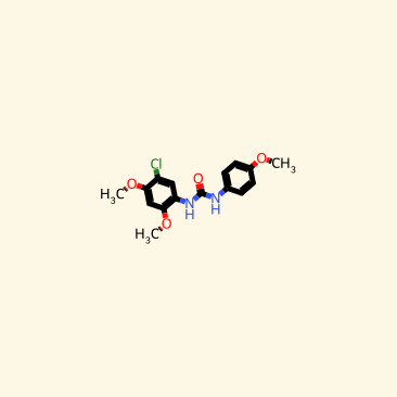 COc1ccc(NC(=O)Nc2cc(Cl)c(OC)cc2OC)cc1